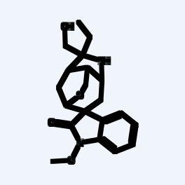 CCC1(CO)NC2CC3(C(=O)N(OC)c4ccccc43)C3CC1C2CO3